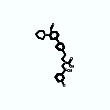 O=Cc1ccc(-c2ccc(CCN(C[C@H](O)c3cccc(Cl)c3)C(=O)O)cc2)cc1N1CCCCC1